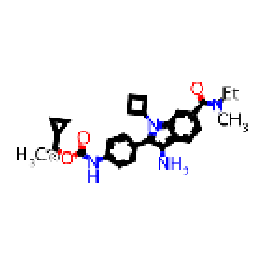 CCN(C)C(=O)c1ccc2c(N)c(-c3ccc(NC(=O)O[C@H](C)C4CC4)cc3)n(C3CCC3)c2c1